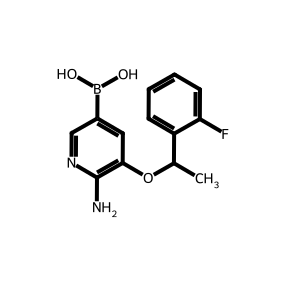 CC(Oc1cc(B(O)O)cnc1N)c1ccccc1F